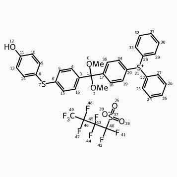 COC(OC)(c1ccc(Sc2ccc(O)cc2)cc1)c1ccc([S+](c2ccccc2)c2ccccc2)cc1.O=S(=O)([O-])C(F)(F)C(F)(F)C(F)(F)C(F)(F)F